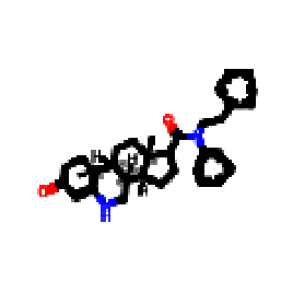 C[C@]12CCC(=O)C=C1NC[C@@H]1[C@H]2CC[C@]2(C)C(C(=O)N(CCc3ccccc3)c3ccccc3)CC[C@@H]12